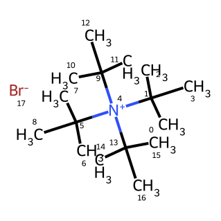 CC(C)(C)[N+](C(C)(C)C)(C(C)(C)C)C(C)(C)C.[Br-]